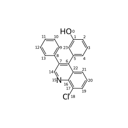 Oc1cccc(-c2c(-c3ccccc3)cnc3c(Cl)cccc23)c1